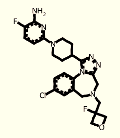 Nc1nc(N2CCC(c3nnc4n3-c3ccc(Cl)cc3CN(CC3(F)COC3)C4)CC2)ccc1F